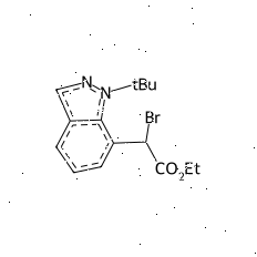 CCOC(=O)C(Br)c1cccc2cnn(C(C)(C)C)c12